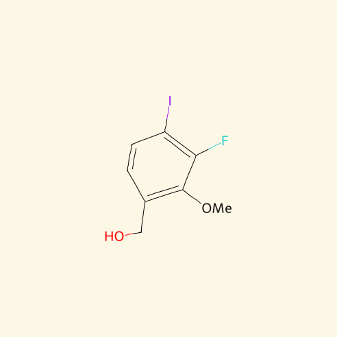 COc1c(CO)ccc(I)c1F